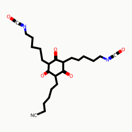 N#CCCCCCC1C(=O)C(CCCCCN=C=O)C(=O)C(CCCCCN=C=O)C1=O